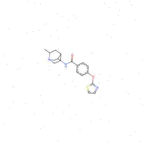 CC1CC2CCN1CC2NC(=O)c1ccc(Oc2nccs2)cc1